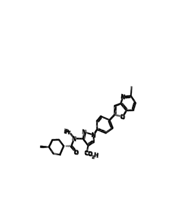 Cc1ccc2oc(-c3ccc(-n4cc(C(=O)O)c(N(C(=O)[C@H]5CC[C@H](C)CC5)C(C)C)n4)cc3)cc2n1